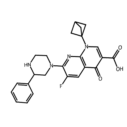 O=C(O)c1cn(C23CC(C2)C3)c2nc(N3CCNC(c4ccccc4)C3)c(F)cc2c1=O